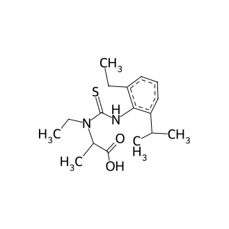 CCc1cccc(C(C)C)c1NC(=S)N(CC)C(C)C(=O)O